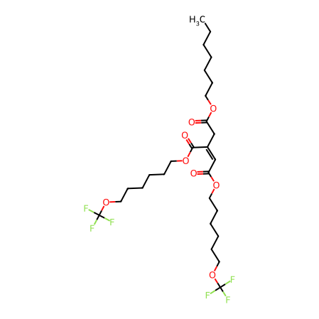 CCCCCCCOC(=O)CC(=CC(=O)OCCCCCCOC(F)(F)F)C(=O)OCCCCCCOC(F)(F)F